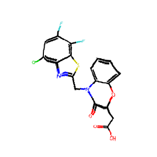 O=C(O)CC1Oc2ccccc2N(Cc2nc3c(Cl)cc(F)c(F)c3s2)C1=O